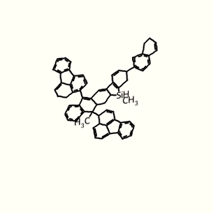 C[SiH]1C2=C(C=CC(c3ccc4c(c3)CCC=C4)C2)C2=CC3=C(c4ccc5c6c4CCC=C6c4ccccc4-5)c4ccccc4C(C)(C4C=CC5=C6C(=CC=CC64)c4ccccc45)C3CC21